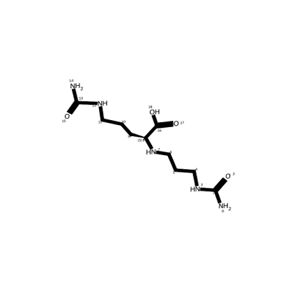 NC(=O)NCCCN[C@@H](CCCNC(N)=O)C(=O)O